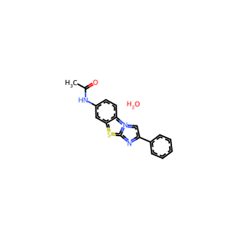 CC(=O)Nc1ccc2c(c1)sc1nc(-c3ccccc3)cn12.O